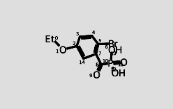 CCOc1ccc(Br)c(C(=O)P(=O)(O)O)c1